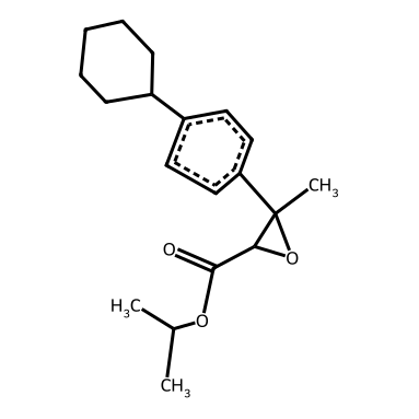 CC(C)OC(=O)C1OC1(C)c1ccc(C2CCCCC2)cc1